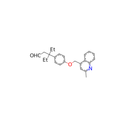 CCC(CC)(CC=O)c1ccc(OCc2cc(C)nc3ccccc23)cc1